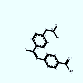 CC(=Cc1ccc(C(=O)O)cc1)c1ccc(CC(C)C)cc1